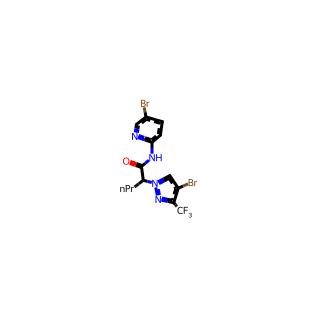 CCCC(C(=O)Nc1ccc(Br)cn1)n1cc(Br)c(C(F)(F)F)n1